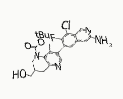 Cc1c(-c2cc3cc(N)ncc3c(Cl)c2F)cnc2c1N(C(=O)OC(C)(C)C)CC(CO)C2